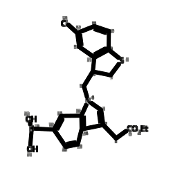 CCOC(=O)Cc1cn(CC2CSc3ccc(Cl)cc32)c2cc(B(O)O)ccc12